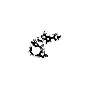 CC(=O)c1nn(CC(=O)N2C3C[C@@]4(CC#CCOCc5ccc(Br)nc5NC3=O)C[C@@H]24)c2c(C)cc(-c3cnc(C)nc3)cc12